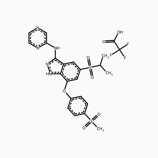 CC(C)S(=O)(=O)c1cc(Oc2ccc(S(C)(=O)=O)cc2)c2[nH]nc(Nc3cnccn3)c2c1.O=C(O)C(F)(F)F